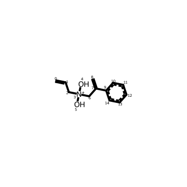 C=CC[N+](O)(O)CC(=C)c1ccccc1